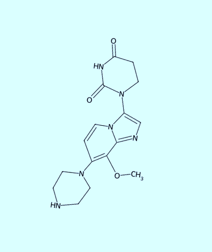 COc1c(N2CCNCC2)ccn2c(N3CCC(=O)NC3=O)cnc12